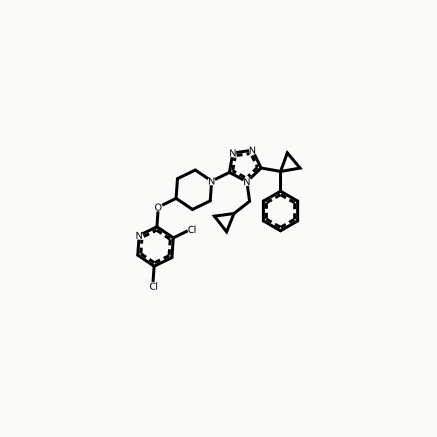 Clc1cnc(OC2CCN(c3nnc(C4(c5ccccc5)CC4)n3CC3CC3)CC2)c(Cl)c1